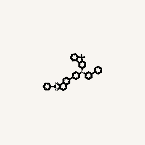 CC1(C)c2ccccc2-c2cc(N(c3ccc(-c4ccc5c(ccc6oc(-c7ccccc7)nc65)c4)cc3)c3cccc(-c4ccccc4)c3)ccc21